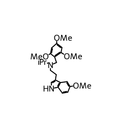 COc1cc(OC)c(CN(CCc2c[nH]c3ccc(OC)cc23)C(C)C)c(OC)c1